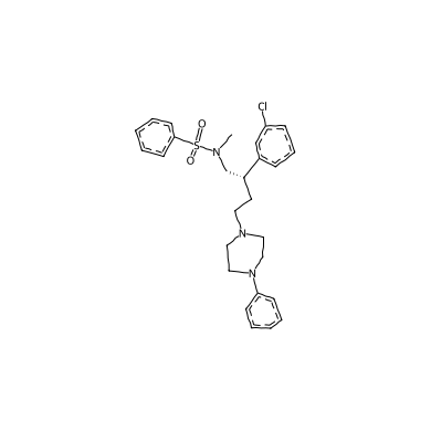 CN(C[C@@H](CCN1CCN(c2ccccc2)CC1)c1cccc(Cl)c1)S(=O)(=O)c1ccccc1